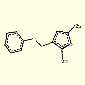 CC(C)(C)c1cc(COc2ccccc2)c(C(C)(C)C)s1